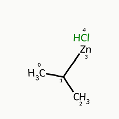 C[CH](C)[Zn].Cl